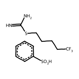 N=C(N)SCCCCC(F)(F)F.O=S(=O)(O)c1ccccc1